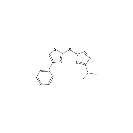 CC(C)c1ncn(Sc2nc(-c3ccccc3)cs2)n1